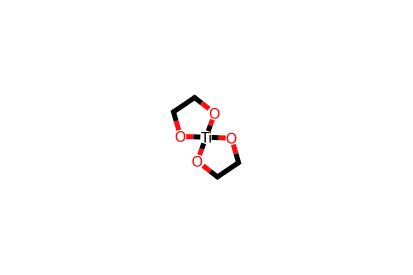 C1C[O][Ti]2([O]1)[O]CC[O]2